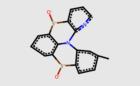 Cc1ccc2c(c1)N1c3ncccc3[S+]([O-])c3cccc(c31)[S+]2[O-]